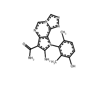 Cc1ccc(O)c(C)c1-n1c(N)c(C(N)=O)c2ncn3cnnc3c21